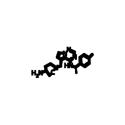 Cc1ccc([C@@H](C)Nc2ncnn3ccc(CN4CCC(N)CC4)c23)cc1